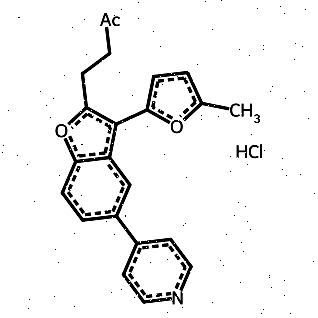 CC(=O)CCc1oc2ccc(-c3ccncc3)cc2c1-c1ccc(C)o1.Cl